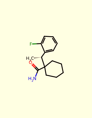 C[C@H](c1ccccc1F)C1(C(N)=O)CCCCC1